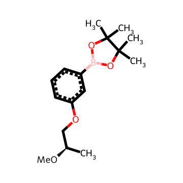 CO[C@H](C)COc1cccc(B2OC(C)(C)C(C)(C)O2)c1